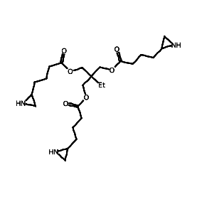 CCC(COC(=O)CCCC1CN1)(COC(=O)CCCC1CN1)COC(=O)CCCC1CN1